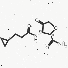 NC(=O)[C@@H]1OCC(=O)[C@H]1NC(=O)[CH]CC1CC1